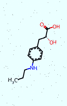 CCCNc1ccc(C[C@@H](O)C(=O)O)cc1